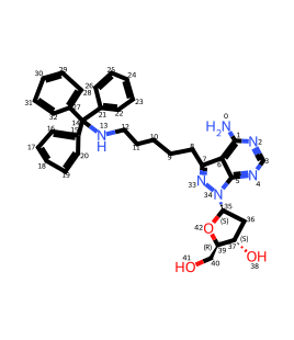 Nc1ncnc2c1c(CCCCCNC(c1ccccc1)(c1ccccc1)c1ccccc1)nn2[C@@H]1C[C@H](O)[C@@H](CO)O1